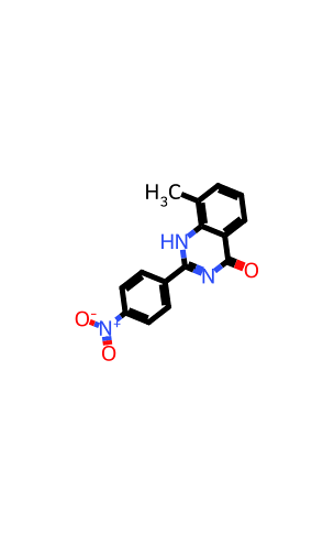 Cc1cccc2c(=O)nc(-c3ccc([N+](=O)[O-])cc3)[nH]c12